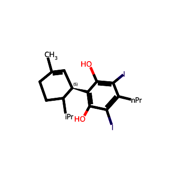 CCCc1c(I)c(O)c([C@@H]2C=C(C)CCC2C(C)C)c(O)c1I